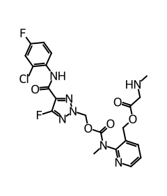 CNCC(=O)OCc1cccnc1N(C)C(=O)OCn1nc(F)c(C(=O)Nc2ccc(F)cc2Cl)n1